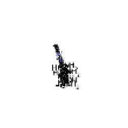 CNC1C(OC2OC(CO)C(N)C(O)C2O)OC2CC(N)C(OC3C(N)CC(N=C/C=C(\C)CC/C=C(\C)CCC=C(C)C)C(O)C3O)OC2C1O